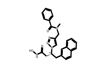 CN(Cc1cn([C@@H](CC(=O)NO)Cc2ccc3ccccc3c2)nn1)C(=O)c1ccccc1